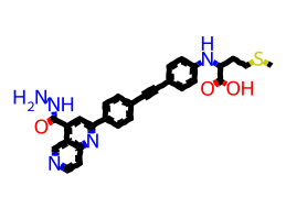 CSCCC(Nc1ccc(C#Cc2ccc(-c3cc(C(=O)NN)c4cnccc4n3)cc2)cc1)C(=O)O